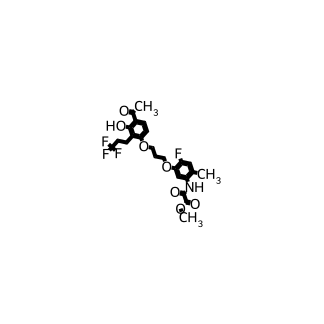 COC(=O)C(=O)Nc1cc(OCCCOc2ccc(C(C)=O)c(O)c2CCC(F)(F)F)c(F)cc1C